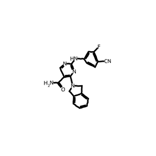 N#Cc1ccc(Nc2ncc(C(N)=O)c(N3Cc4ccccc4C3)n2)cc1F